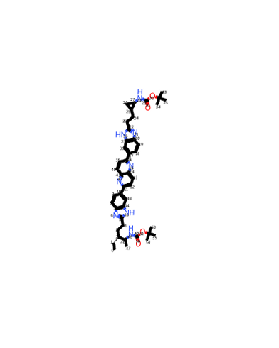 CC[C@H](CCc1nc2ccc(-c3ccc4nc(-c5ccc6nc(CCC7CC7NC(=O)OC(C)(C)C)[nH]c6c5)ccc4n3)cc2[nH]1)C(C)NC(=O)OC(C)(C)C